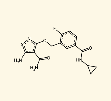 NC(=O)c1c(OCc2cc(C(=O)NC3CC3)ccc2F)nsc1N